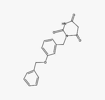 O=C1CC(=O)N(Cc2cccc(OCc3ccccc3)c2)C(=O)N1